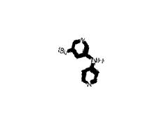 CC(C)(C)c1cncc(Nc2ccncc2)c1